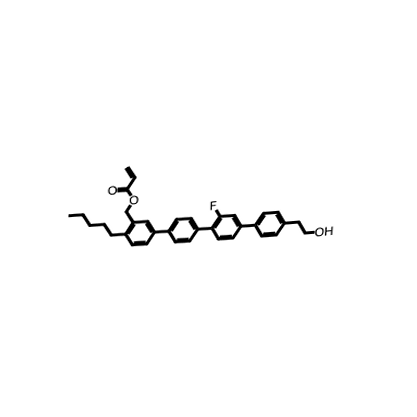 C=CC(=O)OCc1cc(-c2ccc(-c3ccc(-c4ccc(CCO)cc4)cc3F)cc2)ccc1CCCCC